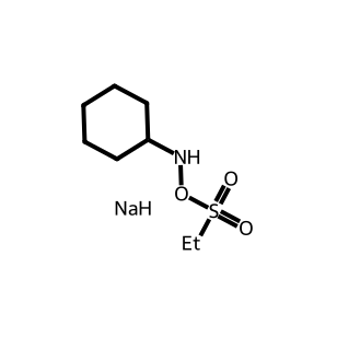 CCS(=O)(=O)ONC1CCCCC1.[NaH]